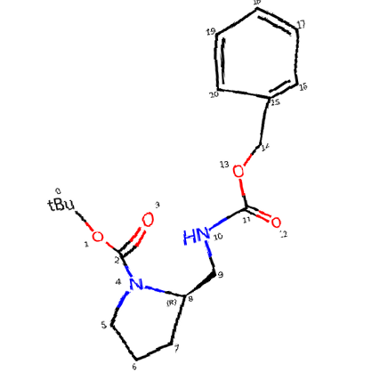 CC(C)(C)OC(=O)N1CCC[C@@H]1CNC(=O)OCc1ccccc1